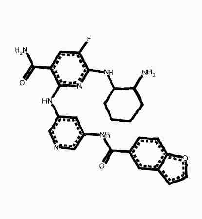 NC(=O)c1cc(F)c(NC2CCCCC2N)nc1Nc1cncc(NC(=O)c2ccc3occc3c2)c1